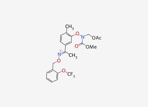 COC(=O)N(COC(C)=O)Oc1cc(/C(C)=N/OCc2ccccc2OC(F)(F)F)ccc1C